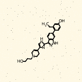 CCc1cc(O)ccc1-c1ccc2c(-c3nc(C4=CCN(CCCO)CC4)c[nH]3)n[nH]c2c1